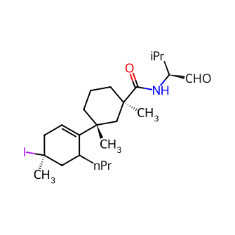 CCCC1C[C@@](C)(I)CC=C1[C@]1(C)CCC[C@@](C)(C(=O)N[C@H](C=O)C(C)C)C1